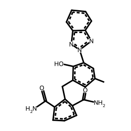 Cc1cc(Cc2c(C(N)=O)cccc2C(N)=O)c(O)c(-n2nc3ccccc3n2)c1